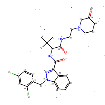 CC(C)(C)C(NC(=O)c1nn(Cc2ccc(F)cc2F)c2ccccc12)C(=O)NCCN1CCCC(=O)C1